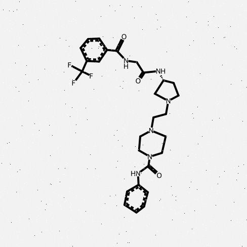 O=C(CNC(=O)c1cccc(C(F)(F)F)c1)N[C@@H]1CCN(CCN2CCN(C(=O)Nc3ccccc3)CC2)C1